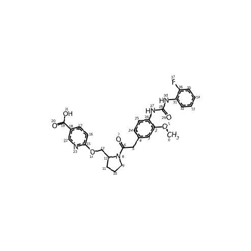 COc1cc(CC(=O)N2CCCC2COc2ccc(C(=O)O)cn2)ccc1NC(=O)Nc1ccccc1F